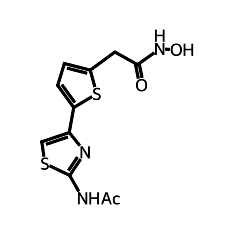 CC(=O)Nc1nc(-c2ccc(CC(=O)NO)s2)cs1